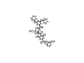 O=C(NCc1cccc(O)c1)c1cc(Cl)c(C(=O)N[C@@H](CNC(=O)c2cc(OC3CCCCO3)cc(OC3CCCCO3)c2)C(=O)O)c(Cl)c1